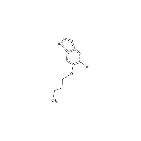 CCCCOc1cc2[nH]ccc2cc1O